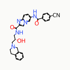 N#Cc1ccc(C(=O)Nc2ccc3nc(C(=O)NC[C@H](O)CN4CCc5ccccc5C4)cn3c2)cc1